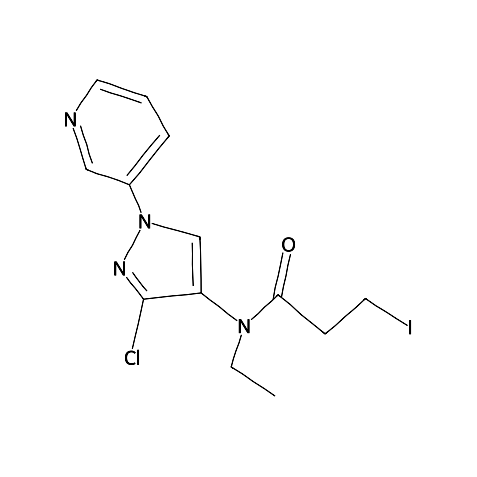 CCN(C(=O)CCI)c1cn(-c2cccnc2)nc1Cl